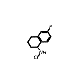 Fc1ccc2c(c1)CCC[C@@H]2NCl